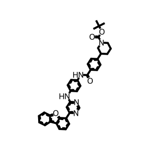 CC(C)(C)OC(=O)N1CCCC(c2ccc(C(=O)Nc3ccc(Nc4cc(-c5cccc6c5oc5ccccc56)ncn4)cc3)cc2)C1